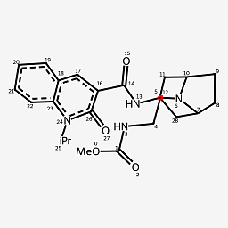 COC(=O)NCCN1C2CCC1CC(NC(=O)c1cc3ccccc3n(C(C)C)c1=O)C2